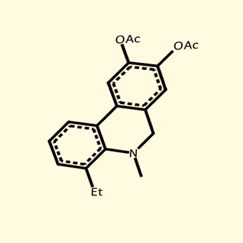 CCc1cccc2c1N(C)Cc1cc(OC(C)=O)c(OC(C)=O)cc1-2